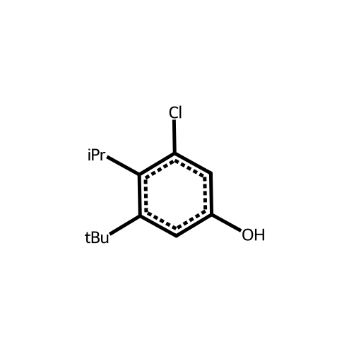 CC(C)c1c(Cl)cc(O)cc1C(C)(C)C